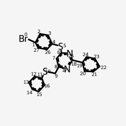 Brc1ccc(Sc2cc(CSc3ccccc3)nc(-c3ccccc3)n2)cc1